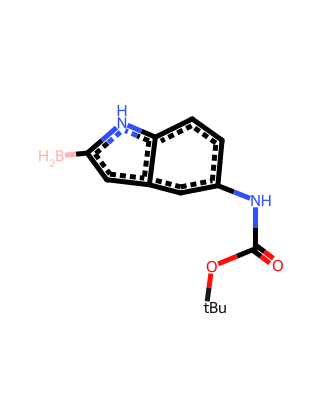 Bc1cc2cc(NC(=O)OC(C)(C)C)ccc2[nH]1